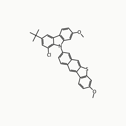 COc1ccc2c(c1)sc1cc3cc(-n4c5cc(OC)ccc5c5cc(C(C)(C)C)cc(Cl)c54)ccc3cc12